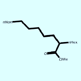 CCCCCCCCCCCCCCC(CCCCCC)C(=O)OC